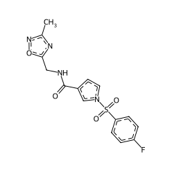 Cc1noc(CNC(=O)c2ccn(S(=O)(=O)c3ccc(F)cc3)c2)n1